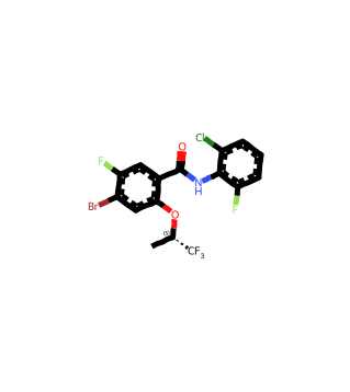 C[C@H](Oc1cc(Br)c(F)cc1C(=O)Nc1c(F)cccc1Cl)C(F)(F)F